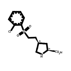 O=C(O)[C@@H]1C[C@H](CCS(=O)(=O)c2ccccc2Cl)CN1